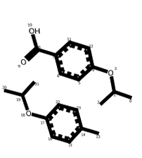 CC(C)Oc1ccc(C(=O)O)cc1.Cc1ccc(OC(C)C)cc1